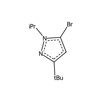 CC(C)n1nc(C(C)(C)C)cc1Br